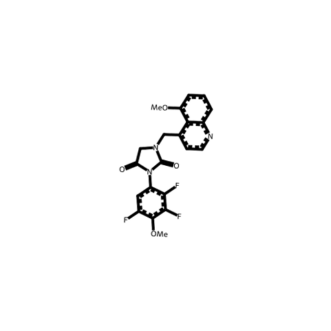 COc1c(F)cc(N2C(=O)CN(Cc3ccnc4cccc(OC)c34)C2=O)c(F)c1F